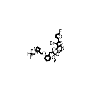 CCOC(=O)[C@@H](Cc1ccccc1OCc1ccnn1CC(F)(F)F)Oc1ncnc2sc(-c3ccc(F)o3)c(Br)c12